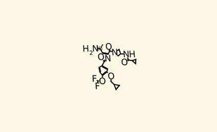 C[C@H](N)c1oc(-c2ccc(OC(F)F)c(OCC3CC3)c2)nc1C(=O)N1CC(NC(=O)C2CC2)C1